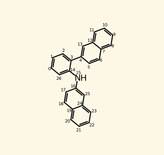 c1ccc(-c2ccc3ccccc3c2)c(Nc2ccc3ccccc3c2)c1